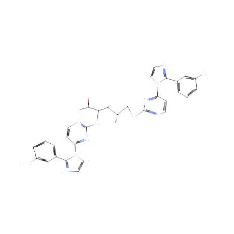 CC(O)C(C[C@H](O)CNc1nccc(-n2ccnc2-c2cccc([N+](=O)[O-])c2)n1)Nc1nccc(-n2ccnc2-c2cccc(N)c2)n1